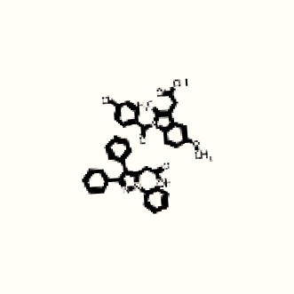 COc1ccc2c(c1)c(CC(=O)O)c(C)n2C(=O)c1ccc(Cl)cc1.O=C(O)Cc1c(-c2ccccc2)c(-c2ccccc2)nn1-c1ccccc1